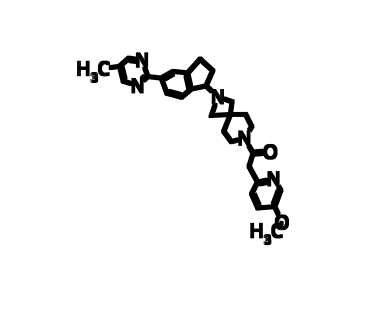 COc1ccc(CC(=O)N2CCC3(CC2)CN(C2CCc4cc(-c5ncc(C)cn5)ccc42)C3)nc1